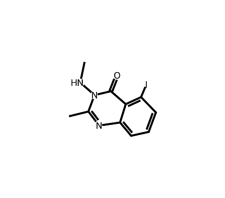 CNn1c(C)nc2cccc(I)c2c1=O